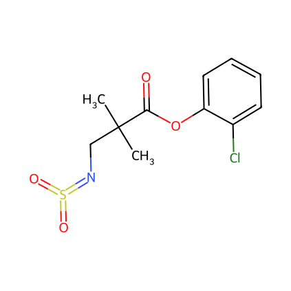 CC(C)(CN=S(=O)=O)C(=O)Oc1ccccc1Cl